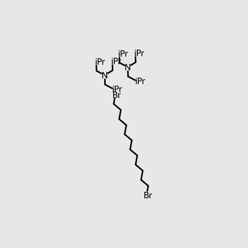 BrCCCCCCCCCCCCBr.CC(C)CN(CC(C)C)CC(C)C.CC(C)CN(CC(C)C)CC(C)C